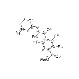 [2H]N1CCO[C@@H](CC(Br)C(=O)c2c(F)cc(C(=O)OC)c(F)c2F)C1